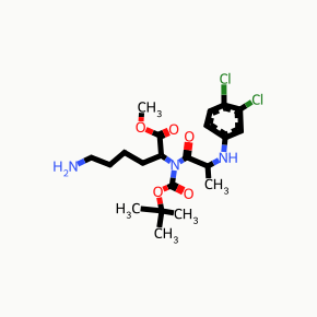 COC(=O)C(CCCCN)N(C(=O)OC(C)(C)C)C(=O)C(C)Nc1ccc(Cl)c(Cl)c1